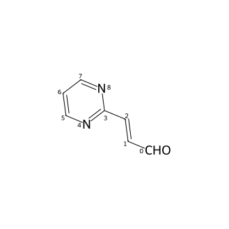 O=CC=Cc1ncccn1